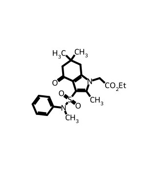 CCOC(=O)Cn1c(C)c(S(=O)(=O)N(C)c2ccccc2)c2c1CC(C)(C)CC2=O